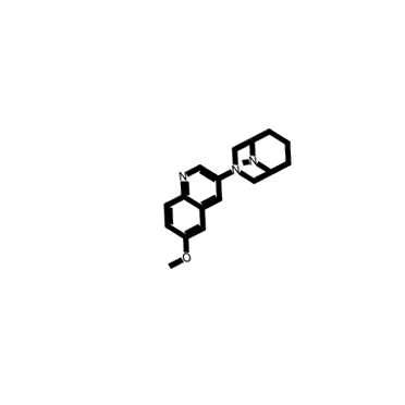 COc1ccc2ncc(N3CC4CCCC(C3)N4C)cc2c1